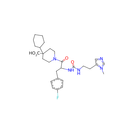 Cn1cncc1CCNC(=O)NC(Cc1ccc(F)cc1)C(=O)N1CCC(C(=O)O)(C2CCCCC2)CC1